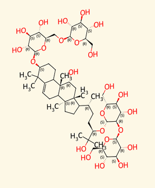 C[C@H](CC[C@@H](O[C@@H]1O[C@H](CO)[C@@H](O)[C@H](O)[C@H]1O[C@@H]1O[C@H](CO)[C@@H](O)[C@H](O)[C@H]1O)C(C)(C)O)C1CC[C@@]2(C)C3CC=C4C(CC[C@H](O[C@@H]5O[C@H](CO[C@@H]6O[C@H](CO)[C@@H](O)[C@H](O)[C@H]6O)[C@@H](O)[C@H](O)[C@H]5O)C4(C)C)[C@]3(C)[C@H](O)C[C@]12C